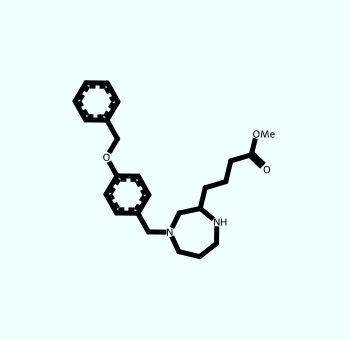 COC(=O)CCCC1CN(Cc2ccc(OCc3ccccc3)cc2)CCCN1